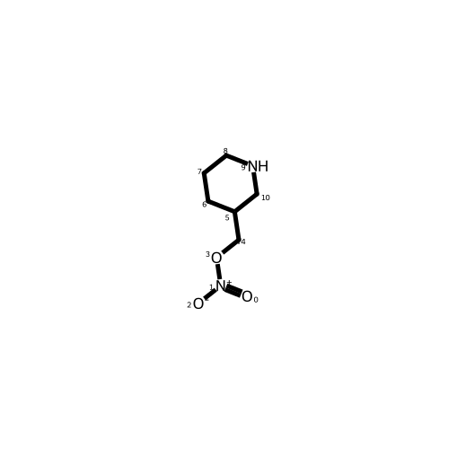 O=[N+]([O-])O[CH]C1CCCNC1